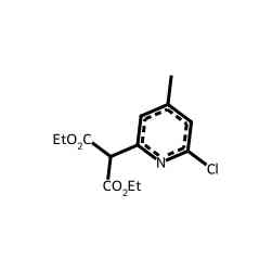 CCOC(=O)C(C(=O)OCC)c1cc(C)cc(Cl)n1